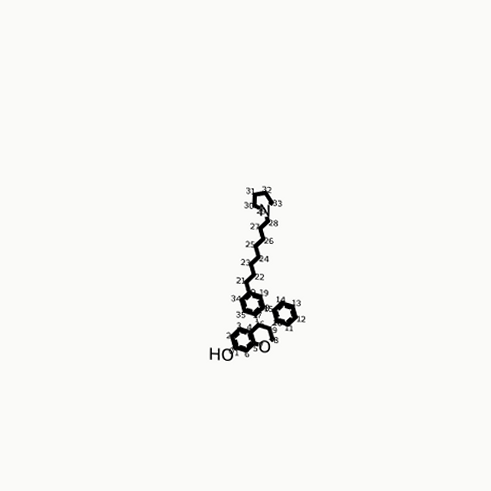 Oc1ccc2c(c1)OC[C@@H](c1ccccc1)[C@H]2c1ccc(CCCCCCCCN2CCCC2)cc1